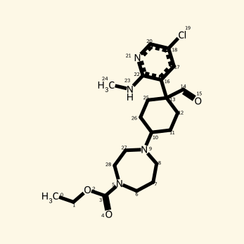 CCOC(=O)N1CCCN(C2CCC(C=O)(c3cc(Cl)cnc3NC)CC2)CC1